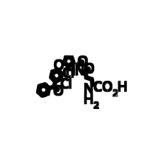 NC(CCC(=O)NC(=O)[C@H]1CC[C@H](Oc2ccc(C(=O)c3ccccc3)c(Cl)c2Cl)C1)C(=O)O